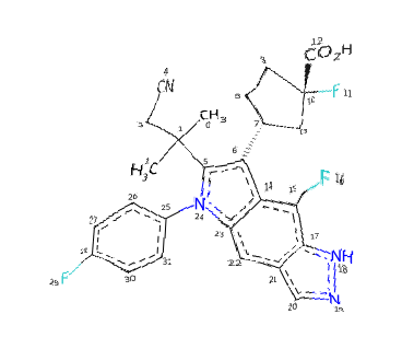 CC(C)(CC#N)c1c([C@@H]2CC[C@@](F)(C(=O)O)C2)c2c(F)c3[nH]ncc3cc2n1-c1ccc(F)cc1